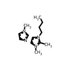 CCCCn1cc[n+](C)c1C.Cn1ccnc1